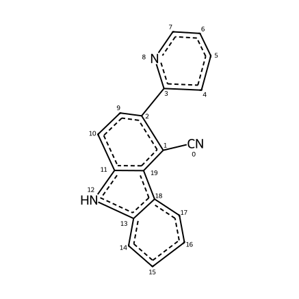 N#Cc1c(-c2ccccn2)ccc2[nH]c3ccccc3c12